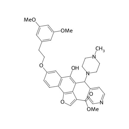 COC(=O)c1coc2c1c(C(c1ccncc1)N1CCN(C)CC1)c(O)c1cc(OCCc3cc(OC)cc(OC)c3)ccc12